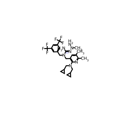 Cc1cc(CN(Cc2cc(C(F)(F)F)cc(C(F)(F)F)c2)/C(N)=N/N(C)N)c(N(CC2CC2)CC2CC2)nc1C